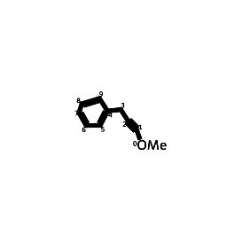 COC#CCc1ccccc1